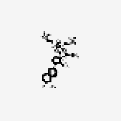 CCCCCC[C@@H]1CCc2cc([C@H]3CC[C@@](COP(=O)(OCC[Si](C)(C)C)OCC[Si](C)(C)C)(OC(N)=O)C3C(C)(C)C)ccc2C1